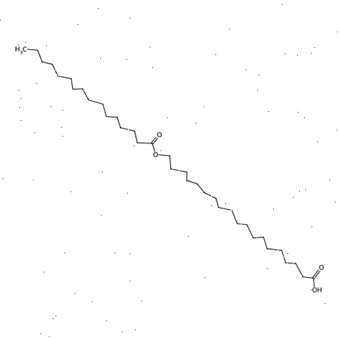 CCCCCCCCCCCCCCCC(=O)OCCCCCCCCCCCCCCCCCCC(=O)O